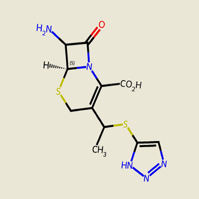 CC(Sc1cnn[nH]1)C1=C(C(=O)O)N2C(=O)C(N)[C@@H]2SC1